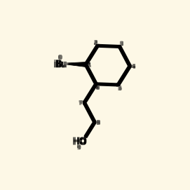 CC[C@H](C)C1CCCCC1CCO